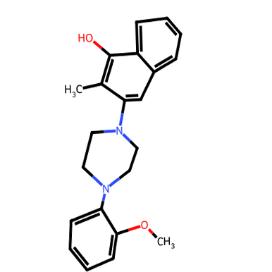 COc1ccccc1N1CCN(c2cc3ccccc3c(O)c2C)CC1